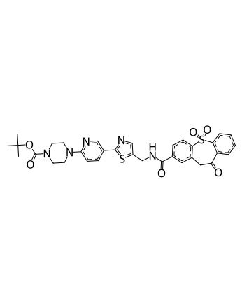 CC(C)(C)OC(=O)N1CCN(c2ccc(-c3ncc(CNC(=O)c4ccc5c(c4)CC(=O)c4ccccc4S5(=O)=O)s3)cn2)CC1